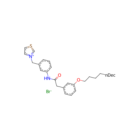 CCCCCCCCCCCCCCOc1cccc(CC(=O)Nc2cccc(C[n+]3ccsc3)c2)c1.[Br-]